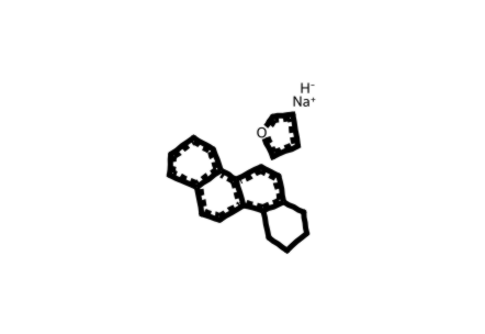 [H-].[Na+].c1ccc2c(c1)ccc1c3c(ccc12)CCCC3.c1ccoc1